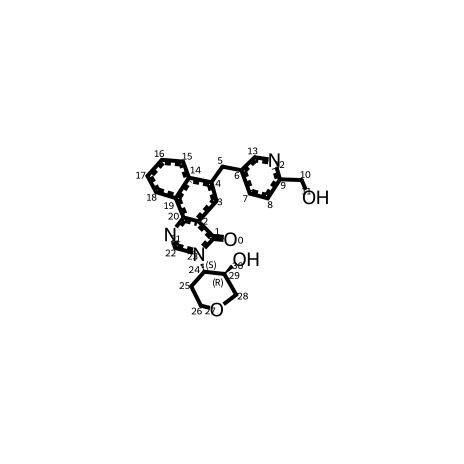 O=c1c2cc(Cc3ccc(CO)nc3)c3ccccc3c2ncn1[C@H]1CCOC[C@@H]1O